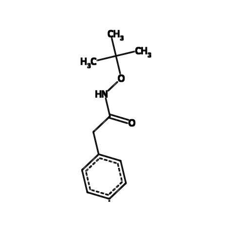 CC(C)(C)ONC(=O)Cc1cc[c]cc1